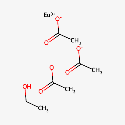 CC(=O)[O-].CC(=O)[O-].CC(=O)[O-].CCO.[Eu+3]